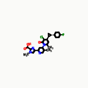 Cc1cnc(-c2cn(C)c(C(=O)O)n2)cc1-n1c(C)cc([C@H]2C[C@@H]2c2ccc(F)cc2)c(Cl)c1=O